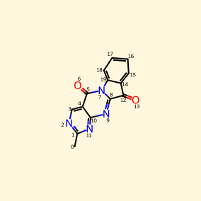 Cc1ncc2c(=O)n3c(nc2n1)C(=O)c1ccccc1-3